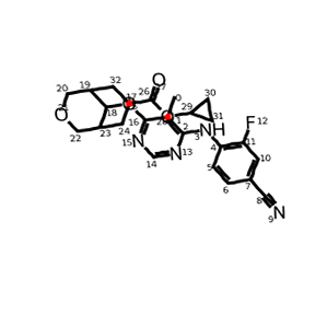 Cc1c(Nc2ccc(C#N)cc2F)ncnc1OC1C2COCC1CC(C(=O)OC1CC1)C2